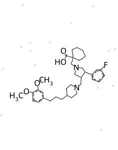 COc1ccc(CCCC2CCN(CC3CN(CC4(C(=O)O)CCCCC4)CC3c3cccc(F)c3)CC2)cc1OC